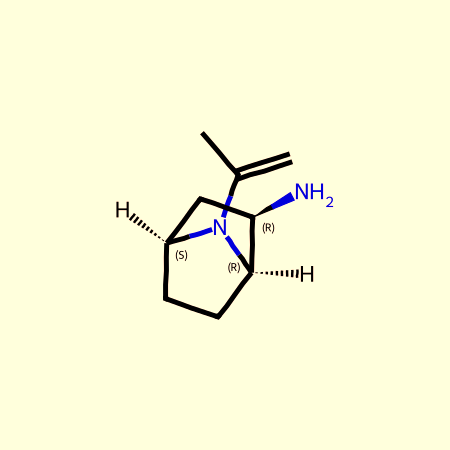 C=C(C)N1[C@H]2CC[C@@H]1[C@H](N)C2